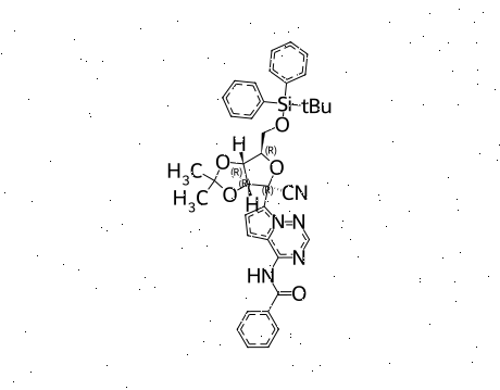 CC1(C)O[C@H]2[C@@H](O1)[C@](C#N)(c1ccc3c(NC(=O)c4ccccc4)ncnn13)O[C@@H]2CO[Si](c1ccccc1)(c1ccccc1)C(C)(C)C